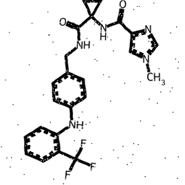 Cn1cnc(C(=O)NC2(C(=O)NCc3ccc(Nc4ccccc4C(F)(F)F)cc3)CC2)c1